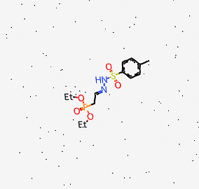 CCOP(=O)(C/C=N/NS(=O)(=O)c1ccc(C)cc1)OCC